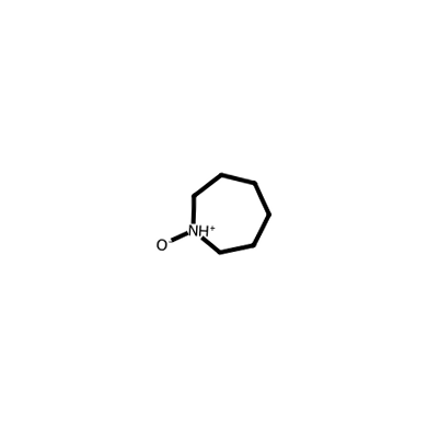 [O-][NH+]1CCCCCC1